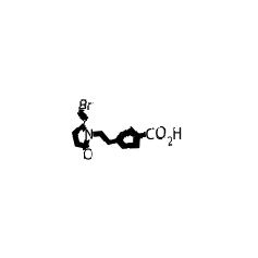 O=C(O)c1ccc(CCN2C(=O)CC[C@@H]2C=CBr)cc1